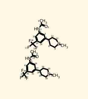 CC(=O)Nc1cc(C2CCN(C)CC2)cc(C(F)(F)F)c1.CC(=O)Nc1cc(C2CCN(C)CC2)cc(C(F)(F)F)c1